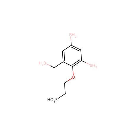 BCc1cc(B)cc(B)c1OCCS(=O)(=O)O